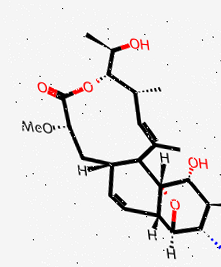 CO[C@H]1C[C@H]2C=C[C@H]3[C@H]4O[C@]2(/C(C)=C/[C@@H](C)[C@@H]([C@@H](C)O)OC1=O)[C@@H]3[C@H](O)[C@@H](C)[C@@H]4N